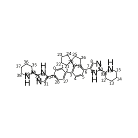 c1cc(-c2ccc(-c3cnc([C@@H]4CCCCN4)[nH]3)c3c2C2(CCCC2)CC3)ccc1-c1cnc([C@@H]2CCCCN2)[nH]1